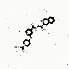 CC(C)COC(=O)N1CCC(Oc2cc(C(=O)NCC(O)[C@@H]3Cc4ccccc4CN3)ccn2)CC1